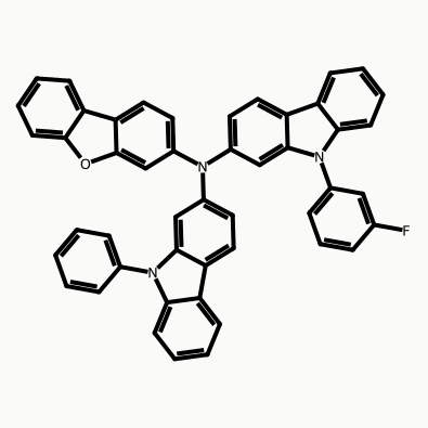 Fc1cccc(-n2c3ccccc3c3ccc(N(c4ccc5c(c4)oc4ccccc45)c4ccc5c6ccccc6n(-c6ccccc6)c5c4)cc32)c1